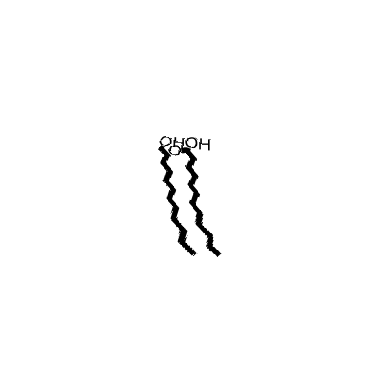 CCCCCCCCCCCC(=O)O.CCCCCCCCCCCCO